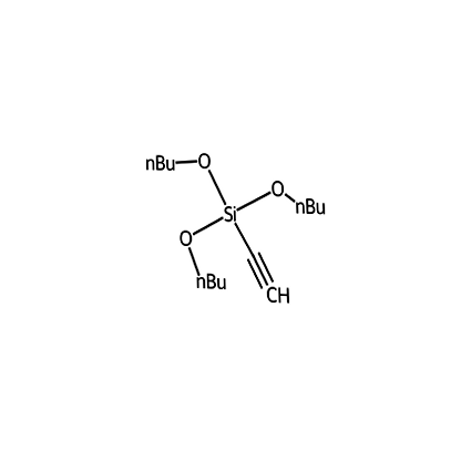 C#C[Si](OCCCC)(OCCCC)OCCCC